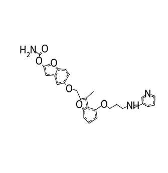 Cc1c(COc2ccc3oc(OC(N)=O)cc3c2)oc2cccc(OCCCNCc3cccnc3)c12